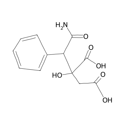 NC(=O)C(c1ccccc1)C(O)(CC(=O)O)C(=O)O